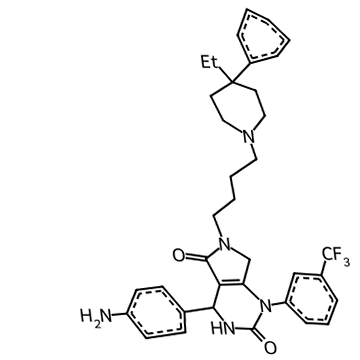 CCC1(c2ccccc2)CCN(CCCCN2CC3=C(C2=O)C(c2ccc(N)cc2)NC(=O)N3c2cccc(C(F)(F)F)c2)CC1